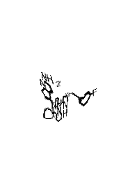 Nc1ccc2c(n1)CCC2NC(=O)[C@@H]1CCCCN1C(=O)[C@H]1C[C@H](Cc2ccc(F)cc2)CN1